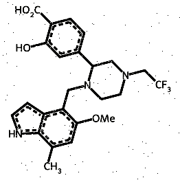 COc1cc(C)c2[nH]ccc2c1CN1CCN(CC(F)(F)F)CC1c1ccc(C(=O)O)c(O)c1